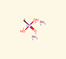 CP(=O)(O)O.P.P